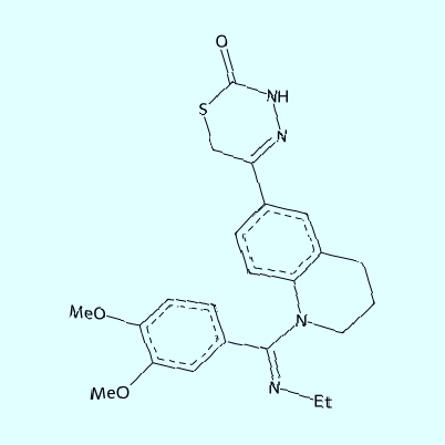 CC/N=C(/c1ccc(OC)c(OC)c1)N1CCCc2cc(C3=NNC(=O)SC3)ccc21